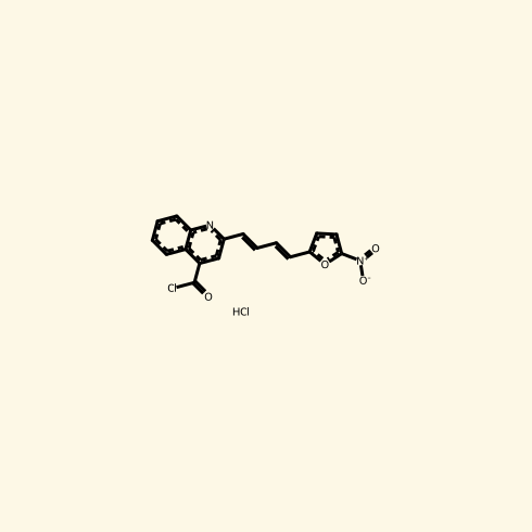 Cl.O=C(Cl)c1cc(C=CC=Cc2ccc([N+](=O)[O-])o2)nc2ccccc12